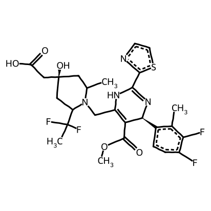 COC(=O)C1=C(CN2C(C)C[C@@](O)(CC(=O)O)CC2C(C)(F)F)NC(c2nccs2)=N[C@H]1c1ccc(F)c(F)c1C